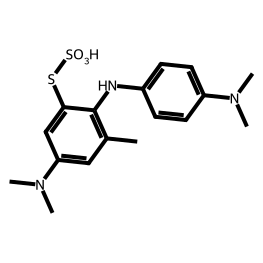 Cc1cc(N(C)C)cc(SS(=O)(=O)O)c1Nc1ccc(N(C)C)cc1